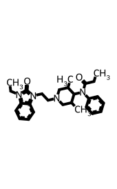 CCC(=O)N(c1ccccc1)C1C(C)CN(CCn2c(=O)n(CC)c3ccccc32)CC1C